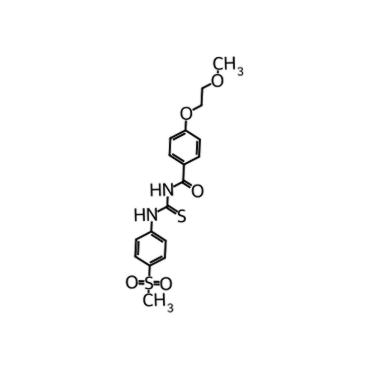 COCCOc1ccc(C(=O)NC(=S)Nc2ccc(S(C)(=O)=O)cc2)cc1